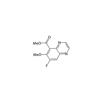 COC(=O)c1c(OC)c(F)cc2nccnc12